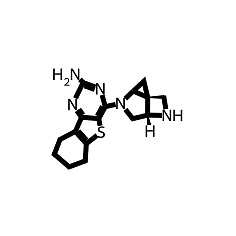 Nc1nc(N2C[C@H]3NC[C@@]34CC24)c2sc3c(c2n1)CCCC3